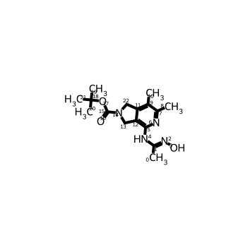 CC(=NO)Nc1nc(C)c(C)c2c1CN(C(=O)OC(C)(C)C)C2